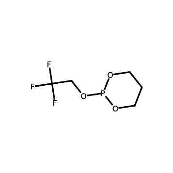 FC(F)(F)COP1OCCCO1